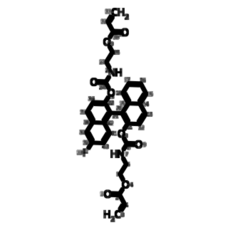 C=CC(=O)OCCNC(=O)Oc1ccc2ccccc2c1-c1c(OC(=O)NCCOC(=O)C=C)ccc2cc(F)ccc12